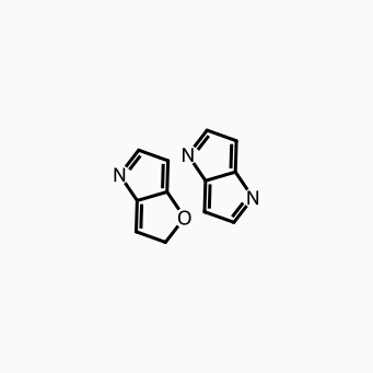 C1=NC2=CC=NC2=C1.C1=NC2=CCOC2=C1